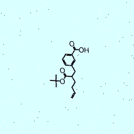 C=CCCC(Cc1cccc(C(=O)O)c1)C(=O)OC(C)(C)C